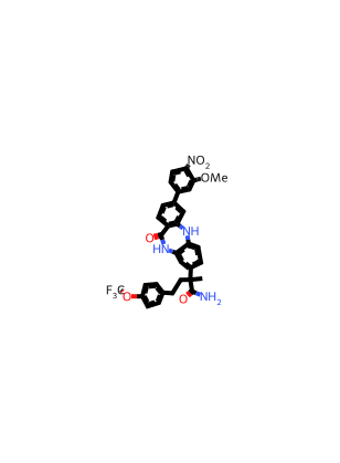 COc1cc(-c2ccc3c(c2)Nc2ccc(C(C)(CCc4ccc(OC(F)(F)F)cc4)C(N)=O)cc2NC3=O)ccc1[N+](=O)[O-]